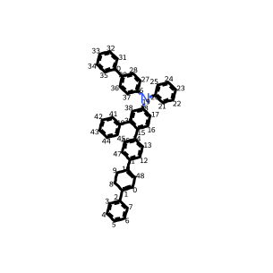 C1=C(c2ccccc2)CCC(c2ccc(-c3ccc(N(c4ccccc4)c4ccc(-c5ccccc5)cc4)cc3-c3ccccc3)cc2)=C1